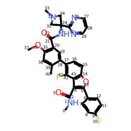 CNC(=O)c1c(-c2ccc(F)cc2)oc2ccc(-c3cc(C(=O)NC4(c5ncccn5)CN(C)C4)c(OC)cc3C)c(F)c12